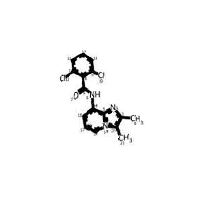 Cc1nc2c(NC(=O)c3c(Cl)cccc3Cl)cccn2c1C